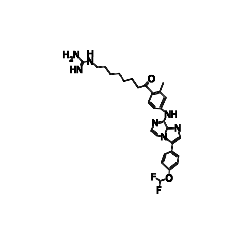 Cc1cc(Nc2nccn3c(-c4ccc(OC(F)F)cc4)cnc23)ccc1C(=O)CCCCCCCNC(=N)N